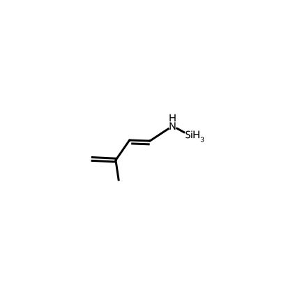 C=C(C)C=CN[SiH3]